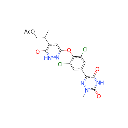 CC(=O)OCC(C)c1cc(Oc2c(Cl)cc(-c3nn(C)c(=O)[nH]c3=O)cc2Cl)n[nH]c1=O